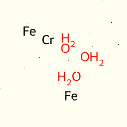 O.O.O.[Cr].[Fe].[Fe]